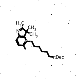 CCCCCCCCCCCCCCCCc1c(I)ccc2c1C(C)(C)C(C)=N2